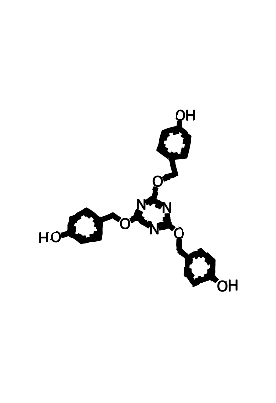 Oc1ccc(COc2nc(OCc3ccc(O)cc3)nc(OCc3ccc(O)cc3)n2)cc1